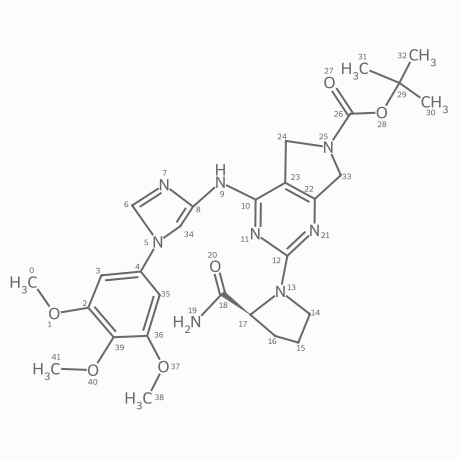 COc1cc(-n2cnc(Nc3nc(N4CCC[C@H]4C(N)=O)nc4c3CN(C(=O)OC(C)(C)C)C4)c2)cc(OC)c1OC